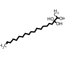 C=CCCCCCCCCCCCCCCCC(O)(O)C(C)O